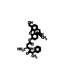 C[C@H](C(=O)N[C@@H](CC(=O)OC1=CC[C@@]2(O)[C@H]3Cc4ccc(CO)c5c4C2(CCN3C)C1O5)C(=O)O)c1ccccc1